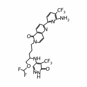 Nc1nc(-c2ccc3c(=O)n(CCCC(COC(F)F)Nc4cn[nH]c(=O)c4C(F)(F)F)ccc3n2)ccc1C(F)(F)F